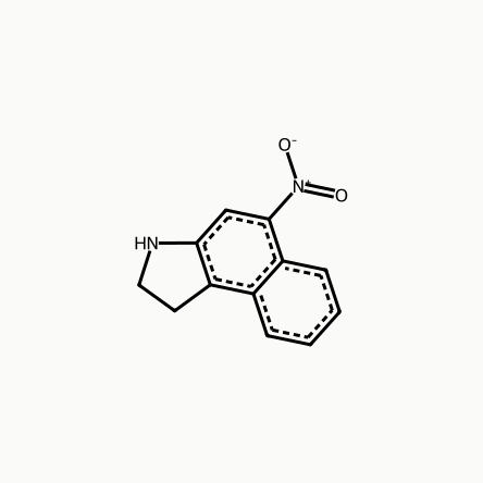 O=[N+]([O-])c1cc2c(c3ccccc13)CCN2